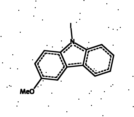 COc1ccc2c(c1)c1ccccc1n2I